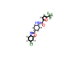 O=C(NC1CCC(c2nc3ccc(Cl)cc3o2)CC1)c1ccc(C(F)(F)F)o1